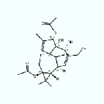 CC(=O)O[C@H]1C(C)=C[C@@]23CC[C@]4(OC(C)=O)[C@H]([C@H](C=C(CO)[C@@H](O)[C@]12O)C3O)C4(C)C